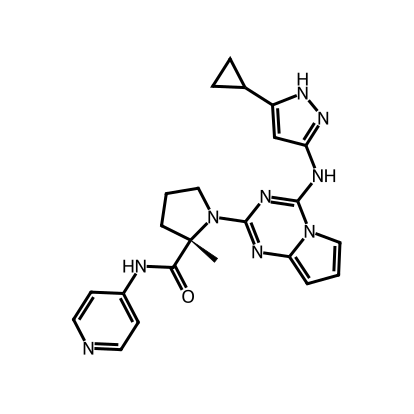 C[C@@]1(C(=O)Nc2ccncc2)CCCN1c1nc(Nc2cc(C3CC3)[nH]n2)n2cccc2n1